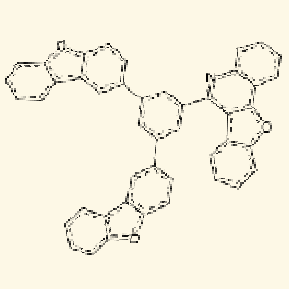 c1ccc2c(c1)nc(-c1cc(-c3ccc4oc5ccccc5c4c3)cc(-c3ccc4oc5ccccc5c4c3)c1)c1c3ccccc3oc21